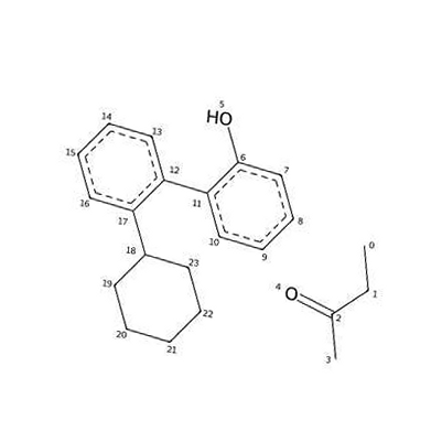 CCC(C)=O.Oc1ccccc1-c1ccccc1C1CCCCC1